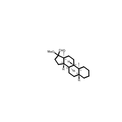 COC1(C=O)CC[C@H]2[C@@H]3CC[C@H]4CCCC[C@]4(C)[C@H]3CC[C@@]21C